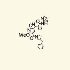 COc1nc2onc(C(=O)C(=O)Nc3nccs3)c2cc1C(=O)N1CCC(Cc2ccccc2)C1